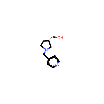 OC[C@H]1CCN(Cc2ccncc2)C1